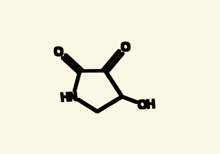 O=C1NCC(O)C1=O